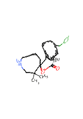 CC(C)(C)C(=O)OC1(c2ccc(Cl)cc2)CCNCC1(C)C